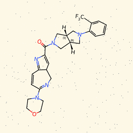 O=C(C1=CC2CN=C(N3CCOCC3)C=CC2=N1)N1C[C@@H]2CN(c3ccccc3C(F)(F)F)C[C@@H]2C1